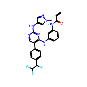 C=CC(=O)Nc1cccc(Nc2nc(Nc3cnn(C)c3)ncc2-c2ccc(C(F)C(F)F)cc2)c1